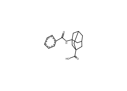 O=C(NC12CC3CC(C1)CC(C(=O)O)(C3)C2)c1ccccc1